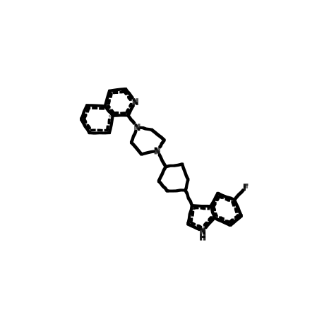 Fc1ccc2[nH]cc(C3CCC(N4CCN(c5nccc6ccccc56)CC4)CC3)c2c1